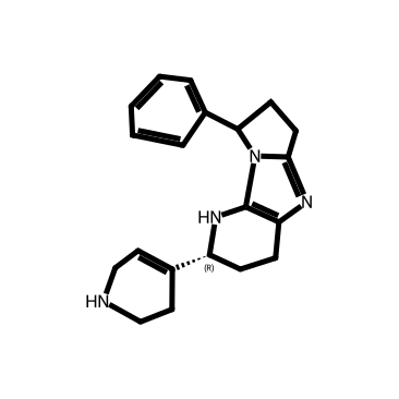 C1=C([C@H]2CCc3nc4n(c3N2)C(c2ccccc2)CC4)CCNC1